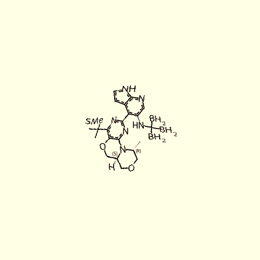 BC(B)(B)Nc1cnc2[nH]ccc2c1-c1nc2c(c(C(C)(C)SC)n1)OC[C@@H]1COC[C@@H](C)N21